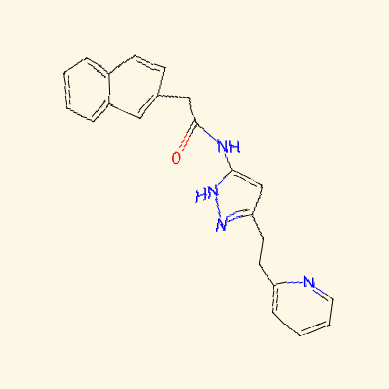 O=C(Cc1ccc2ccccc2c1)Nc1cc(CCc2ccccn2)n[nH]1